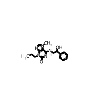 CCCn1c(=O)nc(NCC(O)c2ccccc2)c2c1ncn2C